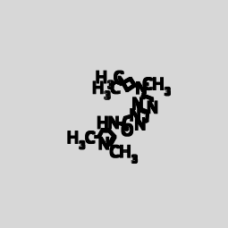 Cc1cc(NC(=O)Cn2ncc3ncc(N(C)C4CC(C)(C)C4)nc32)cc(C)n1